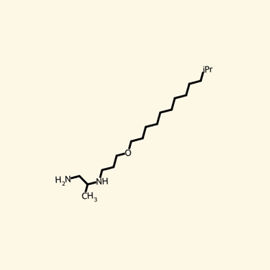 CC(C)CCCCCCCCCCOCCCNC(C)CN